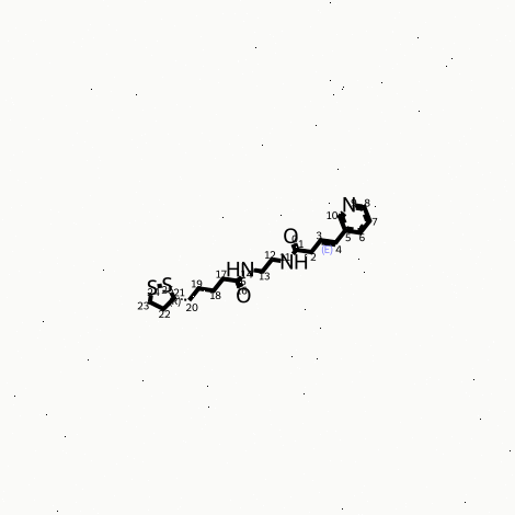 O=C(C/C=C/c1cccnc1)NCCNC(=O)CCCC[C@@H]1CCSS1